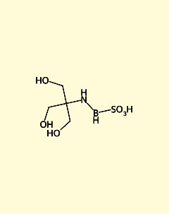 O=S(=O)(O)BNC(CO)(CO)CO